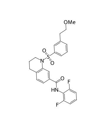 COCCc1cccc(S(=O)(=O)N2CCCc3ccc(C(=O)Nc4c(F)cccc4F)cc32)c1